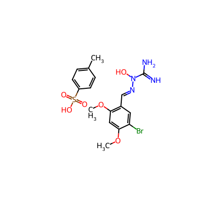 COc1cc(OC)c(C=NN(O)C(=N)N)cc1Br.Cc1ccc(S(=O)(=O)O)cc1